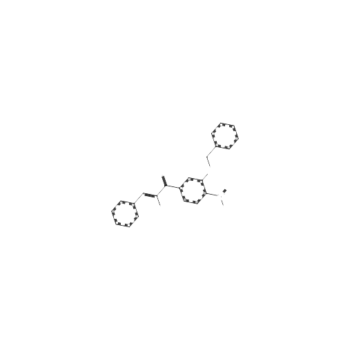 C/C(=C\c1ccccc1)C(=O)c1ccc([N+](=O)[O-])c(OCc2ccccc2)c1